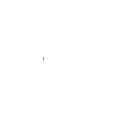 O=[N+]([O-])c1ccc(N2CCCC(N[C@@H]3CCCC[C@H]3Nc3ncc(-c4ccc(C(F)(F)F)cc4)o3)C2)cc1